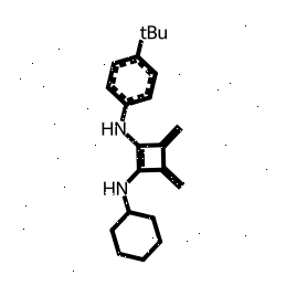 C=C1C(=C)C(NC2CCCCC2)=C1Nc1ccc(C(C)(C)C)cc1